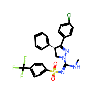 CN/C(=N/S(=O)(=O)c1ccc(C(F)(F)F)cc1)N1C[C@H](c2ccccc2)C(c2ccc(Cl)cc2)=N1